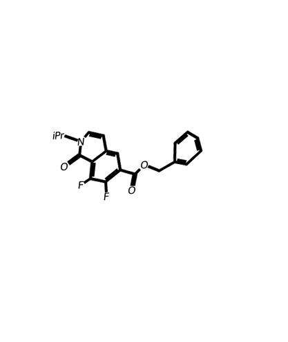 CC(C)n1ccc2cc(C(=O)OCc3ccccc3)c(F)c(F)c2c1=O